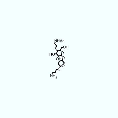 CC(=O)NCCSC1C(CO)OC(OC2CCC(SCCCN)OC2)C(O)C1O